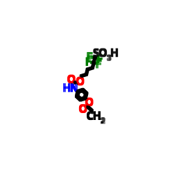 C=CC(=O)Oc1ccc(NC(=O)OCCCCC(F)(F)C(F)(F)S(=O)(=O)O)cc1